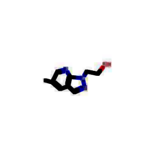 Cc1cnc2c(cnn2CCO)c1